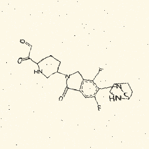 O=CC(=O)C1CCC(N2Cc3c(cc(F)c(N4CC5CCC4CN5)c3F)C2=O)CN1